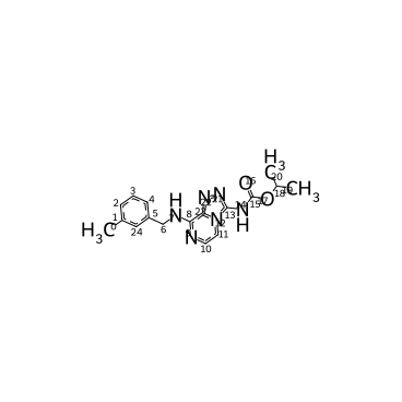 Cc1cccc(CNc2nccn3c(NC(=O)OC(C)C)nnc23)c1